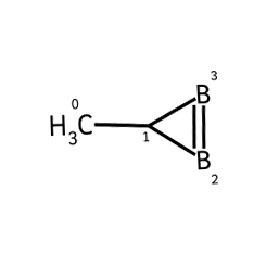 CC1B=B1